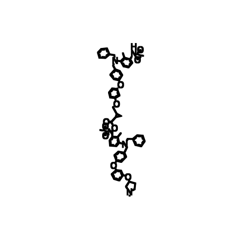 Cc1c(NS(C)(=O)=O)cccc1N(Cc1ccccc1)Cc1ccc(Oc2cccc(OCC3CC3C(=O)ON(c3cccc(N(Cc4ccccc4)Cc4ccc(Oc5cccc(OC6CCN(C)C6)c5)cc4)c3C)S(C)(=O)=O)c2)cc1